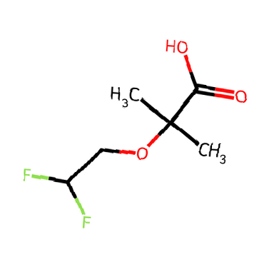 CC(C)(OCC(F)F)C(=O)O